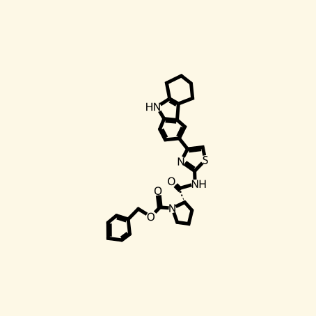 O=C(Nc1nc(-c2ccc3[nH]c4c(c3c2)CCCC4)cs1)[C@@H]1CCCN1C(=O)OCc1ccccc1